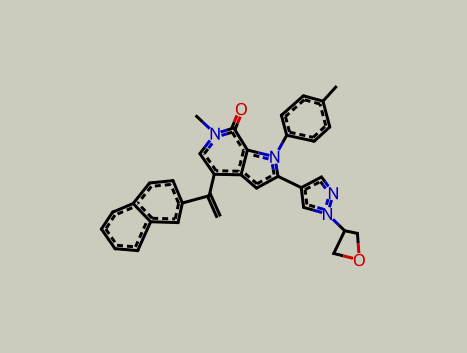 C=C(c1ccc2ccccc2c1)c1cn(C)c(=O)c2c1cc(-c1cnn(C3COC3)c1)n2-c1ccc(C)cc1